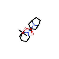 CC(C)(C)OC(=O)N1C2CCC1CC(N1CCCCC1)C2